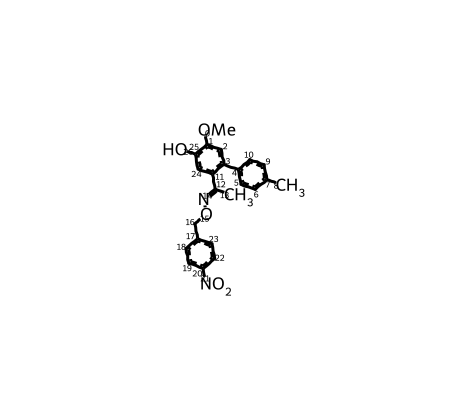 COc1cc(-c2ccc(C)cc2)c(/C(C)=N/OCc2ccc([N+](=O)[O-])cc2)cc1O